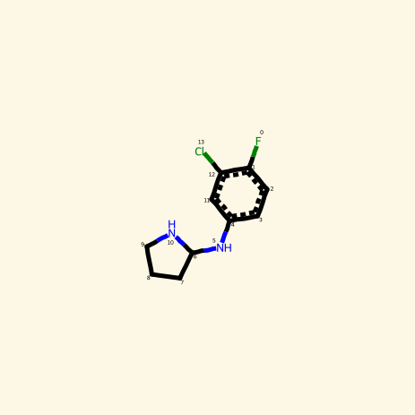 Fc1ccc(NC2CCCN2)cc1Cl